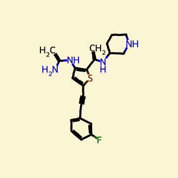 C=C(N)Nc1cc(C#Cc2cccc(F)c2)sc1C(=C)NC1CCCNC1